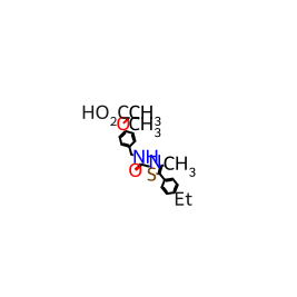 CCc1ccc(-c2sc(C(=O)NCc3ccc(OC(C)(C)C(=O)O)cc3)nc2C)cc1